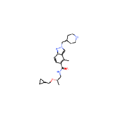 Cc1c(C(=O)NCC(C)OCC2CC2)ccc2nn(CC3CCNCC3)cc12